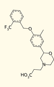 Cc1cc(C2CN(CCC(=O)O)CCO2)ccc1OCc1ccccc1C(F)(F)F